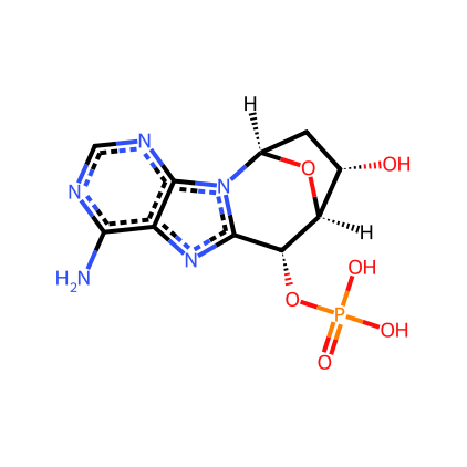 Nc1ncnc2c1nc1n2[C@H]2C[C@H](O)[C@H](O2)[C@@H]1OP(=O)(O)O